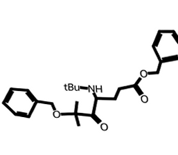 CC(C)(C)NC(CCC(=O)OCc1ccccc1)C(=O)C(C)(C)OCc1ccccc1